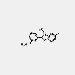 Cc1ccc2nc(-c3cccc(CN)c3)n(O)c2c1